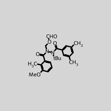 COc1cccc(C(=O)N(COC=O)N(C(=O)c2cc(C)cc(C)c2)C(C)(C)C)c1C